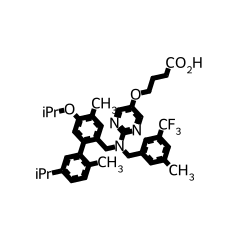 Cc1cc(CN(Cc2cc(C)c(OC(C)C)cc2-c2cc(C(C)C)ccc2C)c2ncc(OCCCC(=O)O)cn2)cc(C(F)(F)F)c1